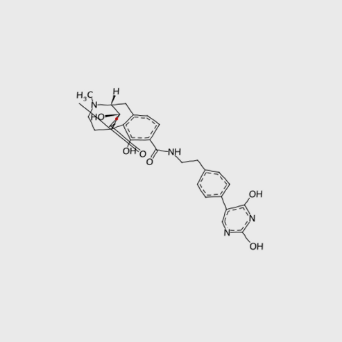 CN1CCC23CC(=O)CC[C@@]2(O)[C@H]1Cc1ccc(C(=O)NCCc2ccc(-c4cnc(O)nc4O)cc2)c(O)c13